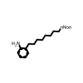 CCCCCCCCCCCCCCCCCc1ccccc1N